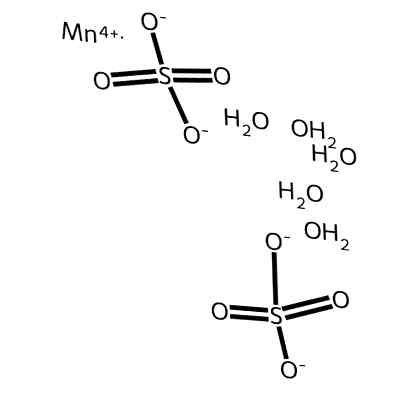 O.O.O.O.O.O=S(=O)([O-])[O-].O=S(=O)([O-])[O-].[Mn+4]